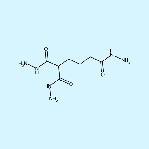 NNC(=O)CCCC(C(=O)NN)C(=O)NN